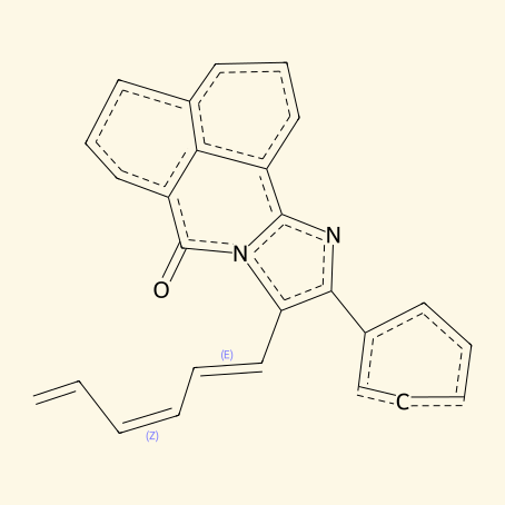 C=C/C=C\C=C\c1c(-c2ccccc2)nc2c3cccc4cccc(c(=O)n12)c43